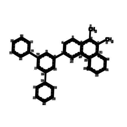 Cc1c(C)c2ccc(-c3cc(-c4ccccc4)cc(-c4ccccc4)c3)nc2c2ncccc12